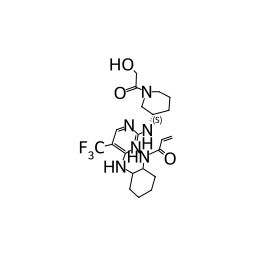 C=CC(=O)NC1CCCCC1Nc1nc(N[C@H]2CCCN(C(=O)CO)C2)ncc1C(F)(F)F